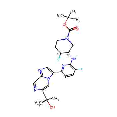 CC(C)(C)OC(=O)N1CC[C@H](F)[C@@H](Nc2nc(-c3cnc4cnc(C(C)(C)O)cn34)ccc2F)C1